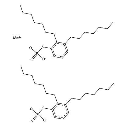 CCCCCCCc1cccc(SP([O-])([O-])=S)c1CCCCCCC.CCCCCCCc1cccc(SP([O-])([O-])=S)c1CCCCCCC.[Mo+4]